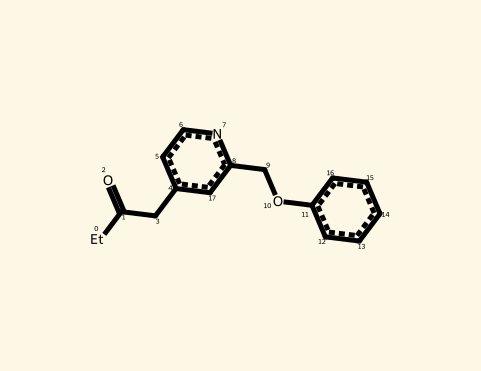 CCC(=O)Cc1ccnc(COc2ccccc2)c1